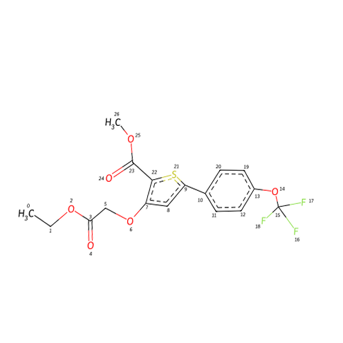 CCOC(=O)COc1cc(-c2ccc(OC(F)(F)F)cc2)sc1C(=O)OC